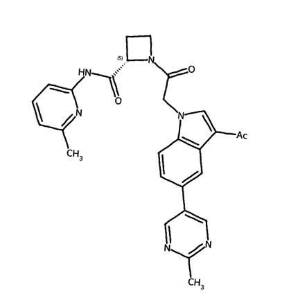 CC(=O)c1cn(CC(=O)N2CC[C@H]2C(=O)Nc2cccc(C)n2)c2ccc(-c3cnc(C)nc3)cc12